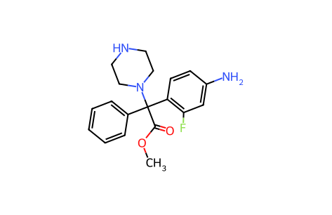 COC(=O)C(c1ccccc1)(c1ccc(N)cc1F)N1CCNCC1